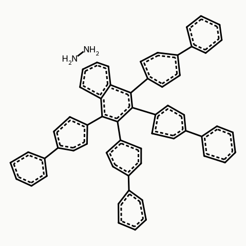 NN.c1ccc(-c2ccc(-c3c(-c4ccc(-c5ccccc5)cc4)c(-c4ccc(-c5ccccc5)cc4)c4ccccc4c3-c3ccc(-c4ccccc4)cc3)cc2)cc1